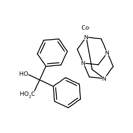 C1N2CN3CN1CN(C2)C3.O=C(O)C(O)(c1ccccc1)c1ccccc1.[Co]